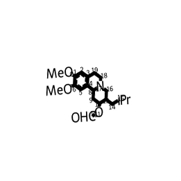 COc1cc2c(cc1OC)C1CC(OC=O)C(CC(C)C)CN1CC2